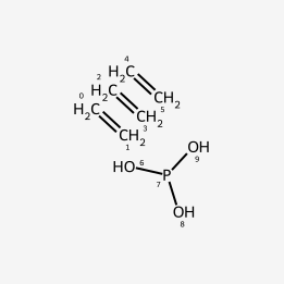 C=C.C=C.C=C.OP(O)O